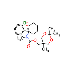 CN(C(=O)OCC1(C)COC(C)(C)OC1)[C@]1(c2ccccc2Cl)CCCCC1=O